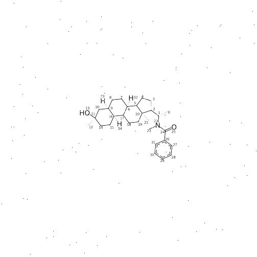 C[C@@H]([C@H]1CCC2[C@@H]3CC[C@@H]4C[C@](C)(O)CC[C@@H]4C3CC[C@@]21C)N(C)C(=O)c1ccccc1